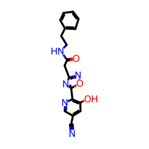 N#Cc1cnc(-c2nc(CC(=O)NCCc3ccccc3)no2)c(O)c1